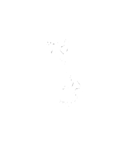 CCCc1c(OCCCCCOc2ccc(C(C)=O)c(OC)c2CCC)ccc2c1OC(OC(=O)O)CC2